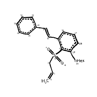 C=CCS(=O)(=O)c1c(C=Cc2ccccc2)cccc1CCCCCC